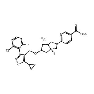 COC(=O)c1ccc(N2C[C@@H]3C[C@@H](OCc4c(-c5c(Cl)cccc5Cl)noc4C4CC4)C[C@@]3(C)C2)nc1